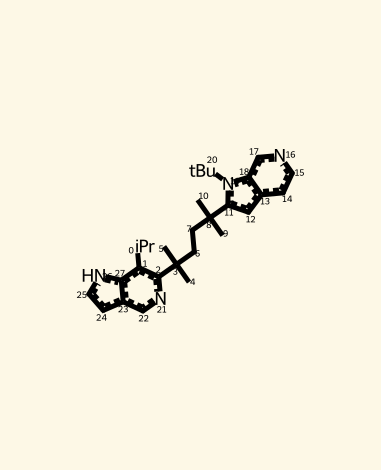 CC(C)c1c(C(C)(C)CCC(C)(C)c2cc3ccncc3n2C(C)(C)C)ncc2cc[nH]c12